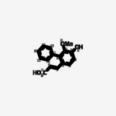 COc1c(O)ccc(C=CC(=O)O)c1-c1ccccc1